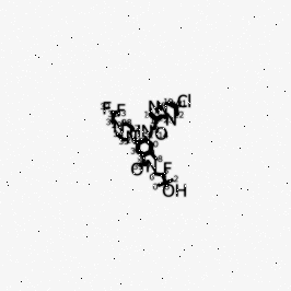 CC(C)(O)C(F)CN1Cc2cc(NC(=O)c3cnn4cc(Cl)cnc34)c(N3CCN(CC(F)F)CC3)cc2C1=O